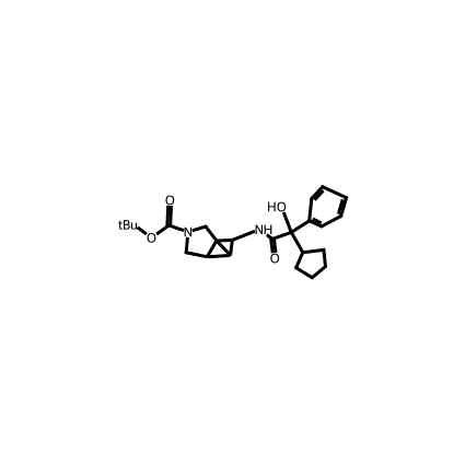 CC(C)(C)OC(=O)N1CC2C3C(NC(=O)C(O)(c4ccccc4)C4CCCC4)C23C1